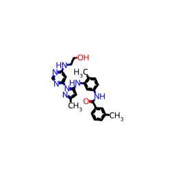 Cc1cccc(C(=O)Nc2ccc(C)c(Nc3cc(C)nn3-c3cc(NCCO)ncn3)c2)c1